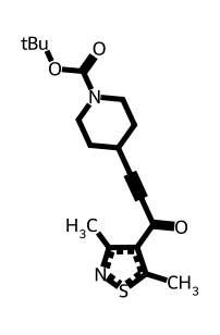 Cc1nsc(C)c1C(=O)C#CC1CCN(C(=O)OC(C)(C)C)CC1